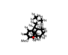 [2H]c1c([2H])c([C@@]([2H])(C([2H])([2H])N(C([2H])([2H])[2H])C([2H])([2H])[2H])C2(O)C([2H])([2H])C([2H])([2H])C([2H])([2H])C([2H])([2H])C2([2H])[2H])c([2H])c([2H])c1OC